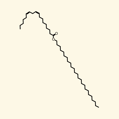 CCCCC/C=C\C/C=C\CCCCCCCC(=O)OCCCCCCCCCCCCCCCCCCCCCCCCC